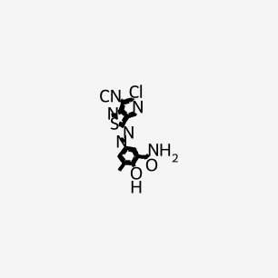 [C-]#[N+]c1c(Cl)ncc2c(/N=N/c3cc(C)c(O)c(C(N)=O)c3)snc12